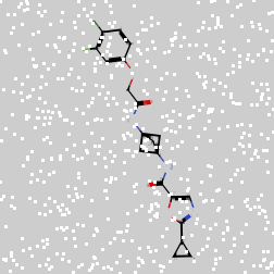 O=C(COc1ccc(Cl)c(F)c1)NC12CC(NC(=O)c3cnc(C4CC4)o3)(C1)C2